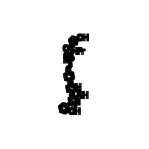 CC(C)[C@@H](C(=O)N1CC[C@@H](O)C1)c1cc(CCN2CCC(N3CCN4c5cc(-c6ccccc6O)nnc5NC[C@H]4C3)CC2)no1